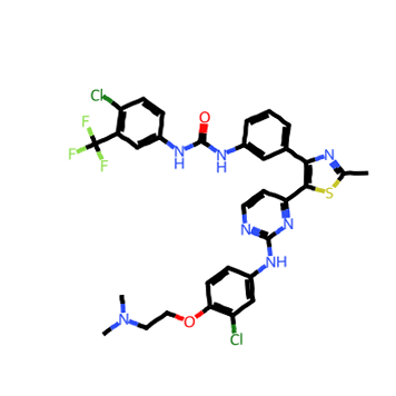 Cc1nc(-c2cccc(NC(=O)Nc3ccc(Cl)c(C(F)(F)F)c3)c2)c(-c2ccnc(Nc3ccc(OCCN(C)C)c(Cl)c3)n2)s1